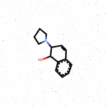 OC1c2ccccc2C=CC1N1CCCC1